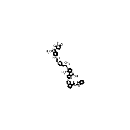 Cc1c(OC[C@@H](C)CC2CCN(CC(=O)Nc3ccc4c([C@H]5CCC(=O)NC5=O)nn(C)c4c3)CC2)cccc1-c1ccc(N2CCc3cccc(C(=O)Nc4nc5ccccc5s4)c3C2)nc1C(=O)O